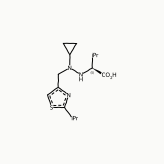 CC(C)c1nc(CN(N[C@H](C(=O)O)C(C)C)C2CC2)cs1